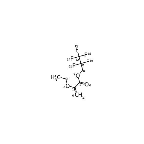 C=C(OCC)C(=O)OCC(F)(F)C(F)(F)F